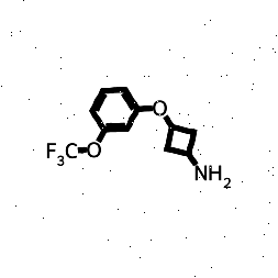 NC1CC(Oc2cccc(OC(F)(F)F)c2)C1